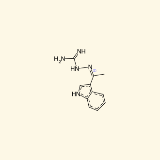 C/C(=N/NC(=N)N)c1c[nH]c2ccccc12